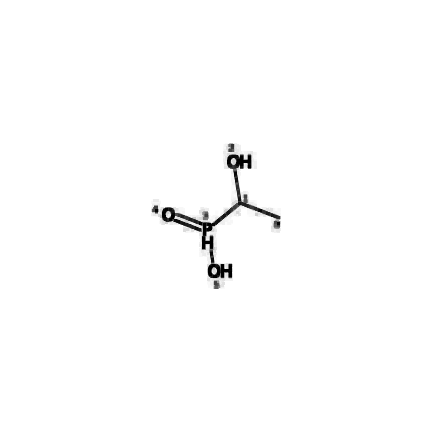 CC(O)[PH](=O)O